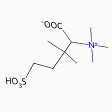 CC(C)(CCS(=O)(=O)O)C(C(=O)[O-])[N+](C)(C)C